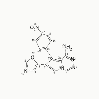 Nc1nncn2cc(-c3cnco3)c(-c3ccc([N+](=O)[O-])cc3)c12